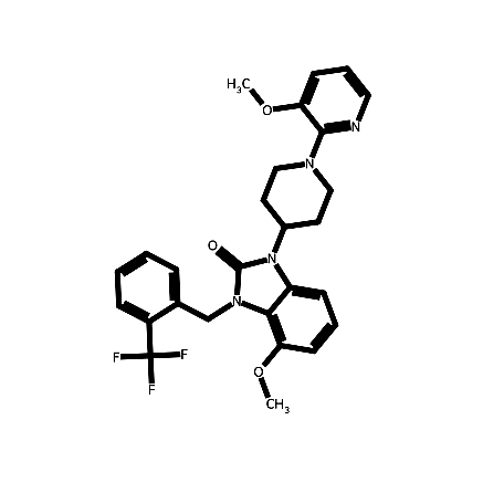 COc1cccnc1N1CCC(n2c(=O)n(Cc3ccccc3C(F)(F)F)c3c(OC)cccc32)CC1